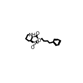 O=C(OCCCCc1ccccc1)[C@@H]1NCCCC1=S(=O)=O